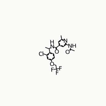 CC(=O)Nc1cc(C(=O)NC(C)c2ccc(OCC(F)(F)F)cc2Cl)cc(C)n1